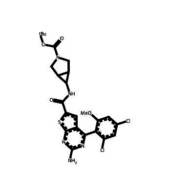 COc1cc(Cl)cc(Cl)c1-c1nc(N)nc2sc(C(=O)NC3C4CN(C(=O)OC(C)(C)C)CC43)cc12